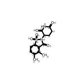 Cc1ccc2c(c1C)C(=O)N(C1CCC(=O)NC1=O)S2(=O)=O